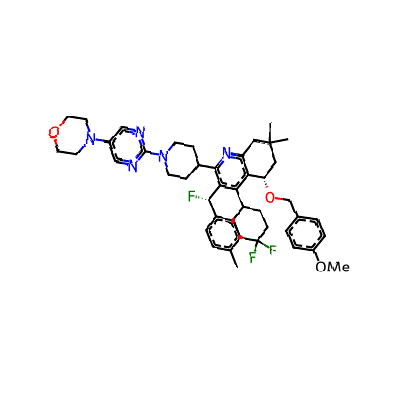 COc1ccc(CO[C@H]2CC(C)(C)Cc3nc(C4CCN(c5ncc(N6CCOCC6)cn5)CC4)c([C@@H](F)c4ccc(C)cc4)c(C4CCC(F)(F)CC4)c32)cc1